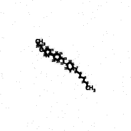 CCCCCCCC[C@H]1CC[C@H](CCc2ccc(-c3ccc(OCCC)cn3)cc2)CC1